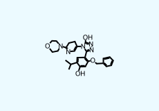 CC(C)c1cc(-c2nnc(O)n2C2=CN=C(N3CCOCC3)CC2)c(OCc2ccccc2)cc1O